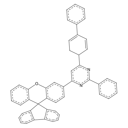 C1=CC(c2cc(-c3ccc4c(c3)Oc3ccccc3C43c4ccccc4-c4ccccc43)nc(-c3ccccc3)n2)CC=C1c1ccccc1